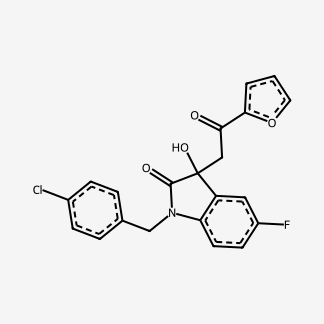 O=C(CC1(O)C(=O)N(Cc2ccc(Cl)cc2)c2ccc(F)cc21)c1ccco1